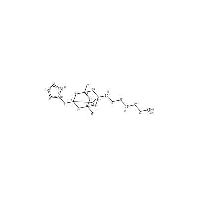 CC12CC3(C)CC(Cn4cccn4)(C1)CC(OCCOCCO)(C2)C3